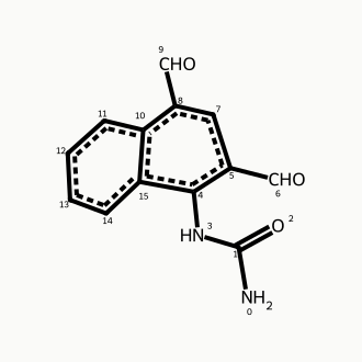 NC(=O)Nc1c(C=O)cc(C=O)c2ccccc12